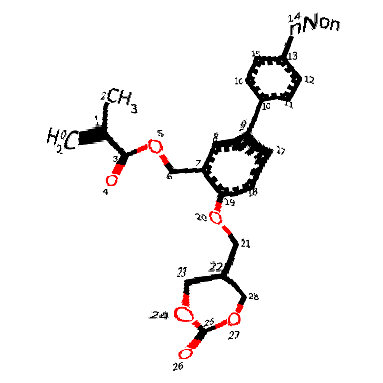 C=C(C)C(=O)OCc1cc(-c2ccc(CCCCCCCCC)cc2)ccc1OCC1COC(=O)OC1